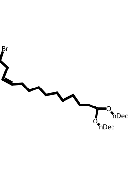 CCCCCCCCCCOC(CCCCCCCCC/C=C\CCBr)OCCCCCCCCCC